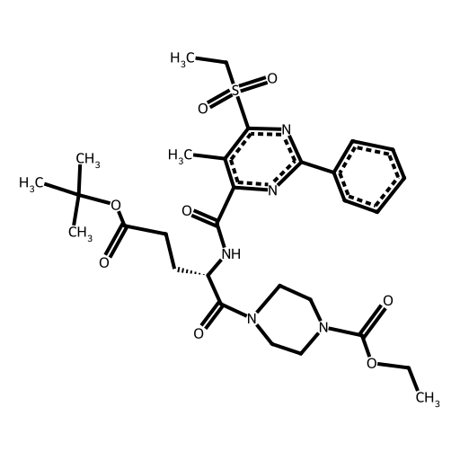 CCOC(=O)N1CCN(C(=O)[C@H](CCC(=O)OC(C)(C)C)NC(=O)c2nc(-c3ccccc3)nc(S(=O)(=O)CC)c2C)CC1